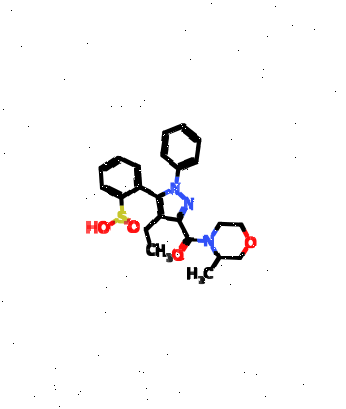 CCc1c(C(=O)N2CCOCC2C)nn(-c2ccccc2)c1-c1ccccc1S(=O)O